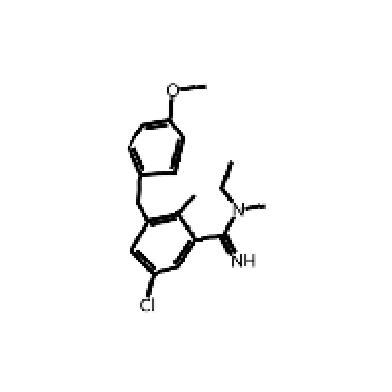 CCN(C)C(=N)c1cc(Cl)cc(Cc2ccc(OC)cc2)c1C